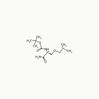 CC(C)COC[C@H](NC(=O)OC(C)(C)C)C(N)=O